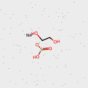 O=S([O-])O.OCCO.[Na+]